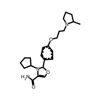 CC1CCCN1CCCOc1ccc(C2OC=C(C(N)=O)N2C2CCCC2)cc1